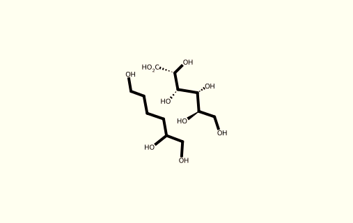 O=C(O)[C@H](O)[C@@H](O)[C@H](O)[C@H](O)CO.OCCCCC(O)CO